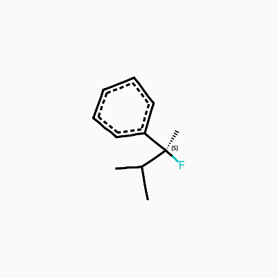 CC(C)[C@](C)(F)c1ccccc1